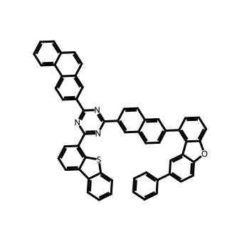 c1ccc(-c2ccc3oc4cccc(-c5ccc6cc(-c7nc(-c8ccc9c(ccc%10ccccc%109)c8)nc(-c8cccc9c8sc8ccccc89)n7)ccc6c5)c4c3c2)cc1